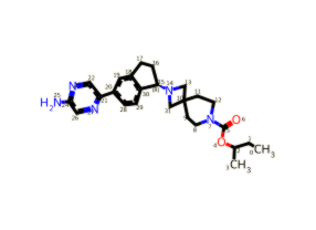 CCC(C)OC(=O)N1CCC2(CC1)CN([C@@H]1CCc3cc(-c4cnc(N)cn4)ccc31)C2